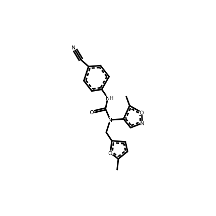 Cc1ccc(CN(C(=O)Nc2ccc(C#N)cc2)c2cnoc2C)o1